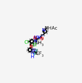 CC(=O)Nc1ccc(/C=C/C(=O)NCC(=O)N(C)c2ccc(Cl)c(COc3cccc4[nH]c(C(F)(F)C(F)(F)F)nc34)c2Cl)cn1